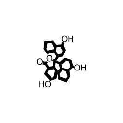 O=C1OC(c2ccc(O)c3ccccc23)(c2ccc(O)c3ccccc23)c2ccc(O)cc21